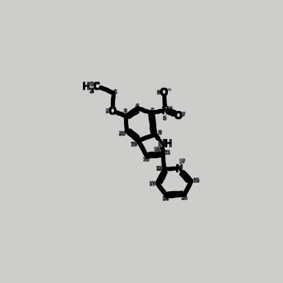 CCOc1cc([N+](=O)[O-])c2[nH]c(-c3ccccn3)cc2c1